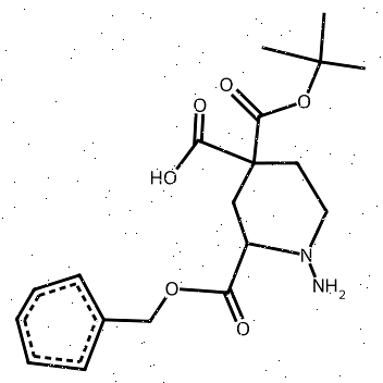 CC(C)(C)OC(=O)C1(C(=O)O)CCN(N)C(C(=O)OCc2ccccc2)C1